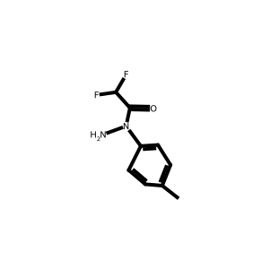 Cc1ccc(N(N)C(=O)C(F)F)cc1